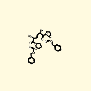 CC(C)C(C=CC(C(=O)N1CCC[C@@H]1C(=O)OCc1ccccc1)C(C)C)C(=O)N1CCC[C@@H]1C(=O)OCc1ccccc1